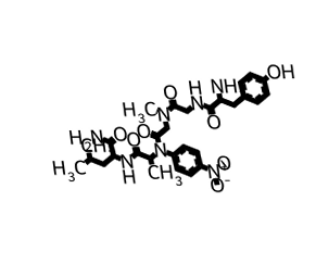 CC(C)CC(NC(=O)C(C)N(C(=O)CN(C)C(=O)CNC(=O)C(N)Cc1ccc(O)cc1)c1ccc([N+](=O)[O-])cc1)C(N)=O